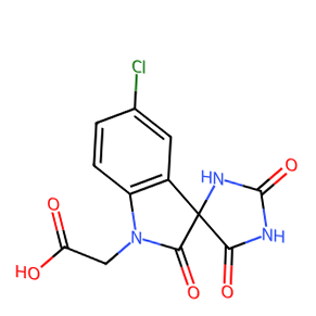 O=C(O)CN1C(=O)C2(NC(=O)NC2=O)c2cc(Cl)ccc21